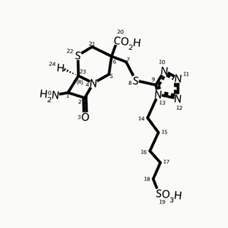 NC1C(=O)N2CC(CSc3nnnn3CCCCCS(=O)(=O)O)(C(=O)O)CS[C@H]12